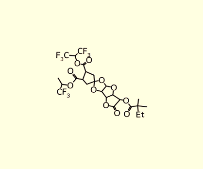 CCC(C)(C)C(=O)OC1C(=O)OC2C3OC4(CC(C(=O)OC(C)C(F)(F)F)C(C(=O)OC(C(F)(F)F)C(F)(F)F)C4)OC3OC12